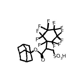 O=C(OC12CC3CC(CC(C3)C1)C2)C(CS(=O)(=O)O)C1(F)C(F)(F)C(F)(F)C(F)(F)C(F)(F)C1(F)F